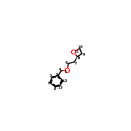 c1ccc(COCC[C@@H]2CCO2)cc1